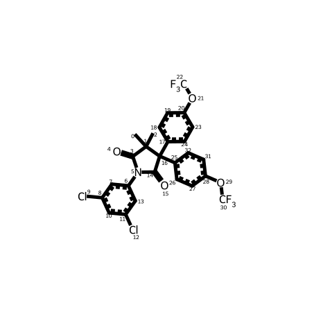 CC1(C)C(=O)N(c2cc(Cl)cc(Cl)c2)C(=O)C1(c1ccc(OC(F)(F)F)cc1)c1ccc(OC(F)(F)F)cc1